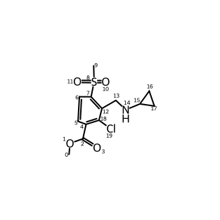 COC(=O)c1ccc(S(C)(=O)=O)c(CNC2CC2)c1Cl